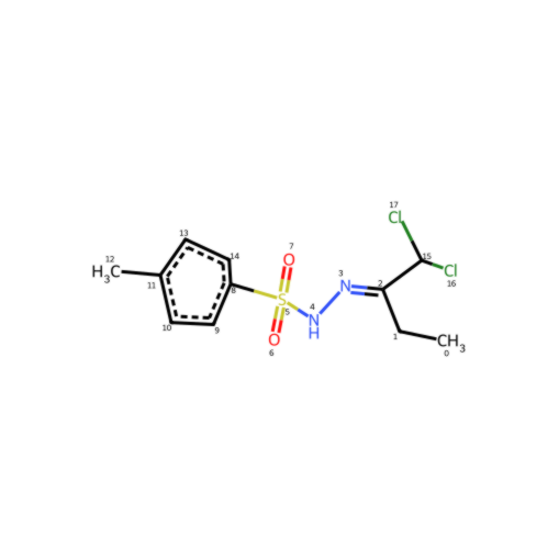 CC/C(=N\NS(=O)(=O)c1ccc(C)cc1)C(Cl)Cl